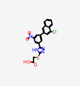 O=C(O)CSc1nnc(-c2cc(-c3cc(Cl)c4ccccc4c3)cc([N+](=O)[O-])c2)[nH]1